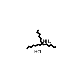 CCCCCCCC(N)(CCCCCC)CCCCCC.Cl